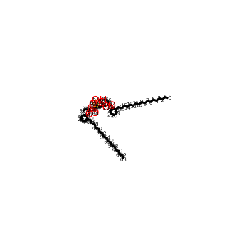 CCCCCCCCCCCCCCCCCCc1ccccc1OC(CC)OC(=O)CC(C(=O)OC(CC)Oc1ccccc1CCCCCCCCCCCCCCCCCC)S(=O)(=O)O